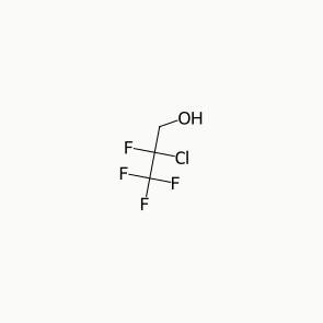 OCC(F)(Cl)C(F)(F)F